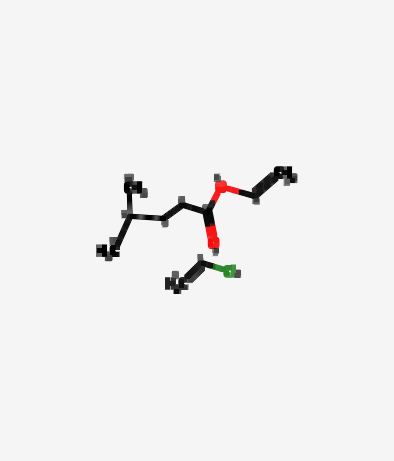 C=CCl.C=COC(=O)CCC(C)C